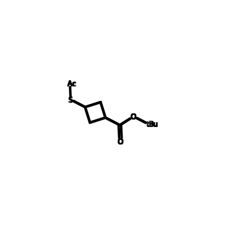 CC(=O)SC1CC(C(=O)OC(C)(C)C)C1